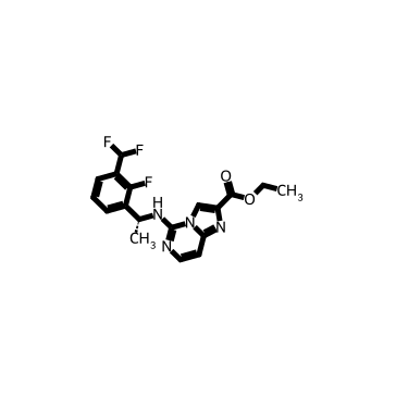 CCOC(=O)c1cn2c(N[C@H](C)c3cccc(C(F)F)c3F)nccc2n1